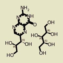 Nc1nc2ncc([C@H](O)[C@H](O)CO)nc2c(=O)[nH]1.OC[C@@H](O)[C@H](O)[C@@H](O)CO